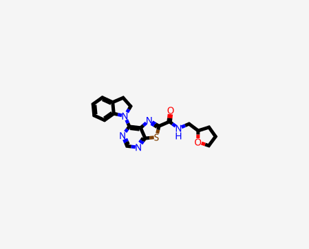 O=C(NCC1CCCO1)c1nc2c(N3CCc4ccccc43)ncnc2s1